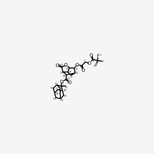 CC(F)(F)C(=O)OCC(=O)OC1C2CC3C1OC(=O)C3C2C(=O)OC1(C)C2CC3CC(C2)CC1C3